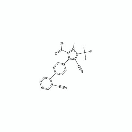 Cn1c(C(=O)O)c(-c2ccc(-c3ccccc3C#N)cc2)c(C#N)c1C(F)(F)F